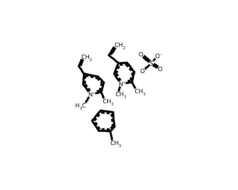 C=Cc1ccc(C)[n+](C)c1.C=Cc1ccc(C)[n+](C)c1.Cc1ccccc1.O=S(=O)([O-])[O-]